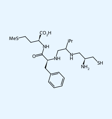 CSCC[C@H](NC(=O)[C@H](Cc1ccccc1)NCC(NC[C@H](N)CS)C(C)C)C(=O)O